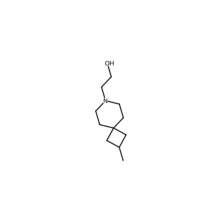 CC1CC2(CCN(CCO)CC2)C1